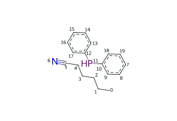 CCCCCC#N.c1ccc(Pc2ccccc2)cc1